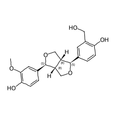 COc1cc([C@H]2OC[C@H]3[C@@H]2CO[C@@H]3c2ccc(O)c(CO)c2)ccc1O